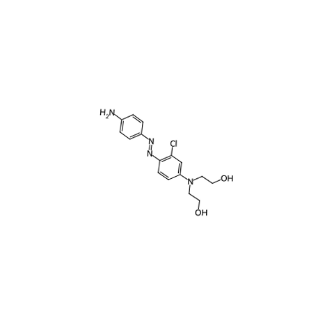 Nc1ccc(/N=N/c2ccc(N(CCO)CCO)cc2Cl)cc1